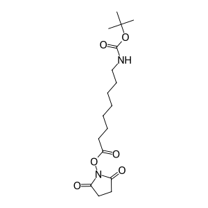 CC(C)(C)OC(=O)NCCCCCCCC(=O)ON1C(=O)CCC1=O